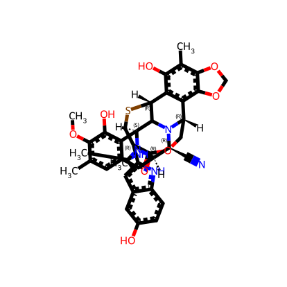 COc1c(C)cc2c(c1O)[C@H]1C3[C@@H]4SC[C@]5(NC(C)Cc6c5[nH]c5ccc(O)cc65)C(=O)OC[C@@H](c5c6c(c(C)c(O)c54)OCO6)N3[C@@H](C#N)[C@@H](C2)N1C